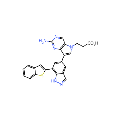 Nc1ncc2c(n1)c(-c1cc(-c3cc4ccccc4s3)c3[nH]ncc3c1)cn2CCC(=O)O